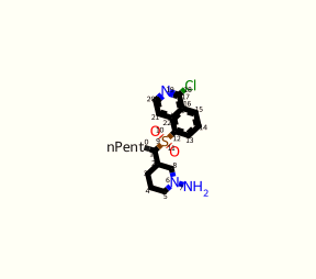 CCCCCC(C1CCCN(N)C1)S(=O)(=O)c1cccc2c(Cl)nccc12